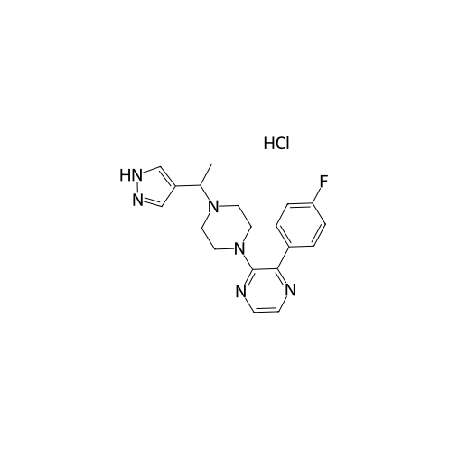 CC(c1cn[nH]c1)N1CCN(c2nccnc2-c2ccc(F)cc2)CC1.Cl